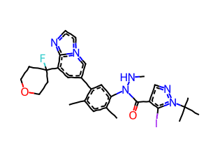 CNN(C(=O)c1cnn(C(C)(C)C)c1I)c1cc(-c2cc(C3(F)CCOCC3)c3nccn3c2)c(C)cc1C